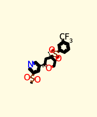 C[C@]1(S(=O)(=O)c2cccc(C(F)(F)F)c2)CCO[C@@H](c2cncc(S(C)(=O)=O)c2)C1